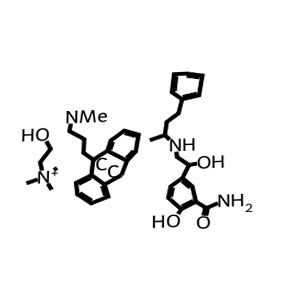 CC(CCc1ccccc1)NCC(O)c1ccc(O)c(C(N)=O)c1.CNCCCC12CCC(c3ccccc31)c1ccccc12.C[N+](C)(C)CCO